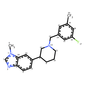 Cn1cnc2ccc(C3CCCN(Cc4cc(F)cc(C(F)(F)F)c4)C3)cc21